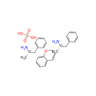 C1=Cc2ccccc2OC1.C[C@H](N)Cc1ccccc1.C[C@H](N)Cc1ccccc1.O=S(=O)(O)O